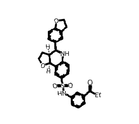 CCC(=O)c1cccc(NS(=O)(=O)c2ccc3c(c2)[C@H]2OCC[C@H]2C(c2ccc4c(c2)CCO4)N3)c1